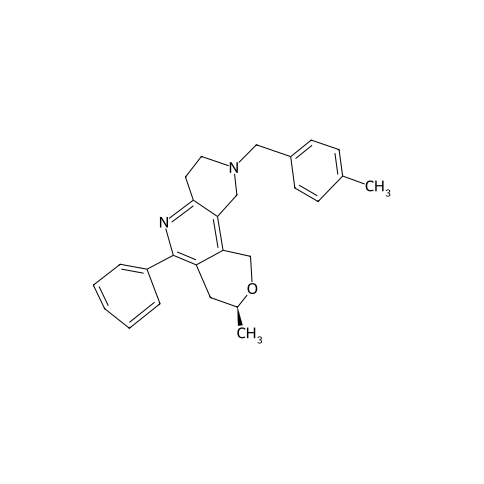 Cc1ccc(CN2CCc3nc(-c4ccccc4)c4c(c3C2)CO[C@@H](C)C4)cc1